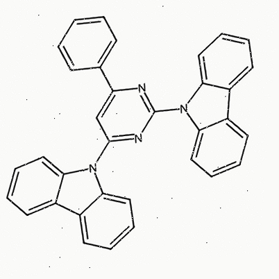 c1ccc(-c2cc(-n3c4ccccc4c4ccccc43)nc(-n3c4ccccc4c4ccccc43)n2)cc1